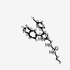 CCCNC(=O)NCc1nc(-c2nc(C)cs2)c(-c2ccc3ncsc3c2)[nH]1